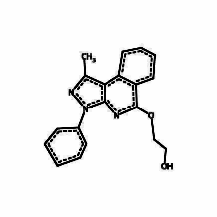 Cc1nn(-c2ccccc2)c2nc(OCCO)c3ccccc3c12